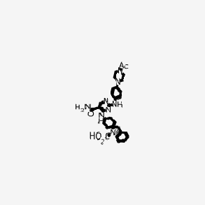 CC(=O)N1CCN(c2ccc(Nc3ncc(C(N)=O)c(NC4CCC(Cc5ccccc5)(NC(=O)O)CC4)n3)cc2)CC1